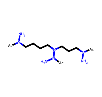 CC(=O)N(N)CCCCN(CCCN(N)C(C)=O)N(N)C(C)=O